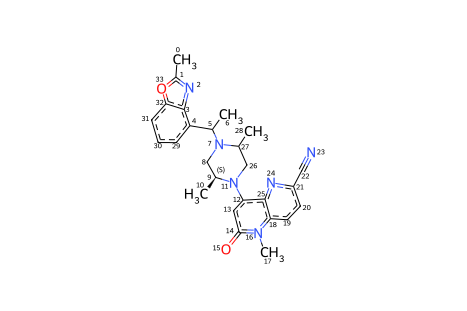 Cc1nc2c(C(C)N3C[C@H](C)N(c4cc(=O)n(C)c5ccc(C#N)nc45)CC3C)cccc2o1